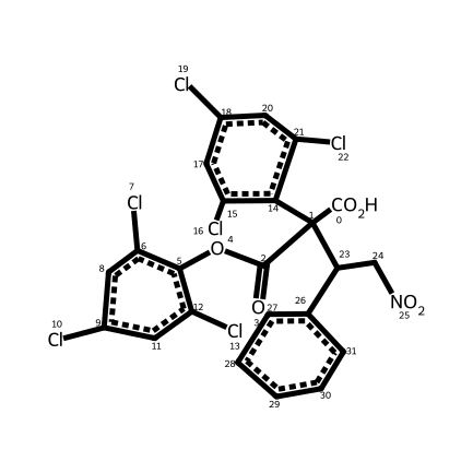 O=C(O)C(C(=O)Oc1c(Cl)cc(Cl)cc1Cl)(c1c(Cl)cc(Cl)cc1Cl)C(C[N+](=O)[O-])c1ccccc1